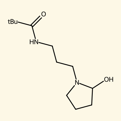 CC(C)(C)C(=O)NCCCN1CCCC1O